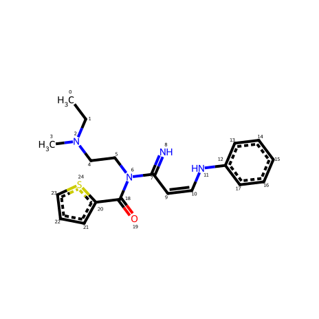 CCN(C)CCN(C(=N)/C=C\Nc1ccccc1)C(=O)c1cccs1